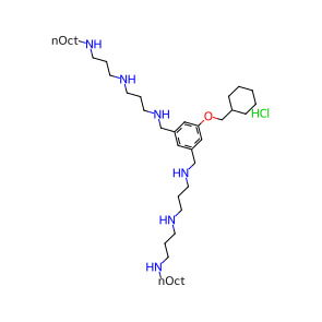 CCCCCCCCNCCCNCCCNCc1cc(CNCCCNCCCNCCCCCCCC)cc(OCC2CCCCC2)c1.Cl